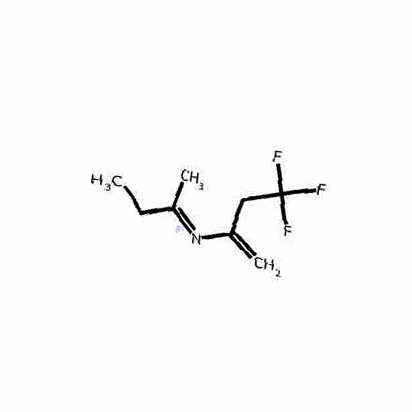 C=C(CC(F)(F)F)/N=C(\C)CC